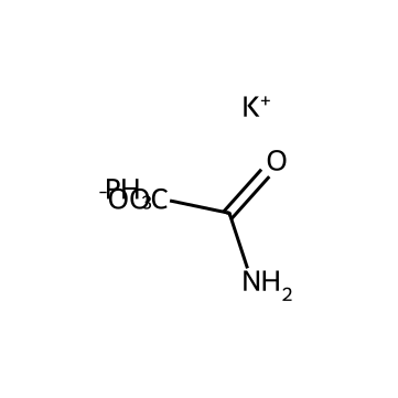 NC(=O)C(=O)[O-].P.[K+]